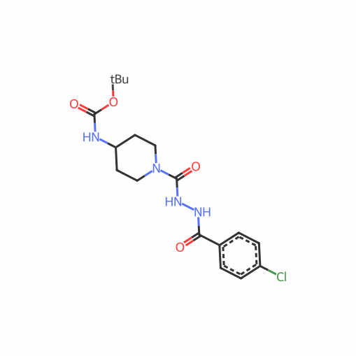 CC(C)(C)OC(=O)NC1CCN(C(=O)NNC(=O)c2ccc(Cl)cc2)CC1